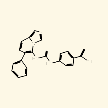 NC(=O)c1ccc(NC(=O)Nc2c(-c3ccccc3)ccc3cncn23)cc1